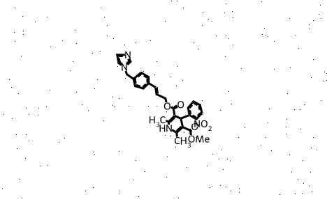 COC(=O)C1=C(C)NC(C)=C(C(=O)OC/C=C/c2ccc(Cn3ccnc3)cc2)C1c1ccccc1[N+](=O)[O-]